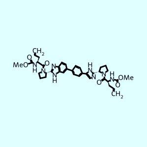 C=CC[C@H](NC(=O)OC)C(=O)N1CCC[C@H]1c1ncc(-c2ccc(-c3ccc4nc([C@@H]5CCCN5C(=O)[C@H](CC=C)NC(=O)OC)[nH]c4c3)cc2)[nH]1